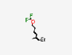 CC/C=C(/C)C=CCCOC(F)F